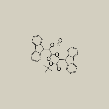 CC(C)(C)OC(=O)C(OC(=O)C(O[C]=O)C1c2ccccc2-c2ccccc21)C1c2ccccc2-c2ccccc21